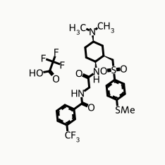 CSc1ccc(S(=O)(=O)C[C@@H]2C[C@H](N(C)C)CC[C@@H]2NC(=O)CNC(=O)c2cccc(C(F)(F)F)c2)cc1.O=C(O)C(F)(F)F